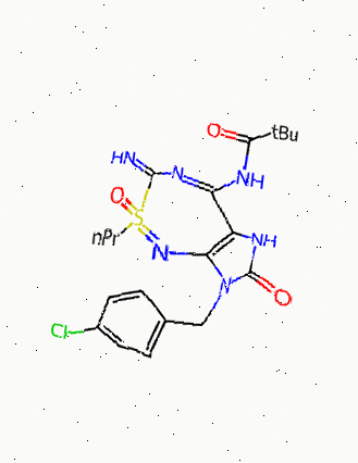 CCCS1(=O)=Nc2c([nH]c(=O)n2Cc2ccc(Cl)cc2)C(NC(=O)C(C)(C)C)=NC1=N